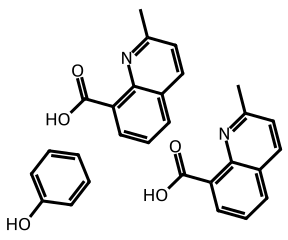 Cc1ccc2cccc(C(=O)O)c2n1.Cc1ccc2cccc(C(=O)O)c2n1.Oc1ccccc1